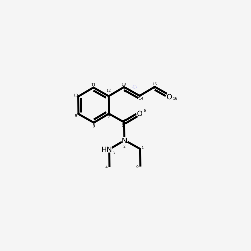 CCN(NC)C(=O)c1ccccc1/C=C/[C]=O